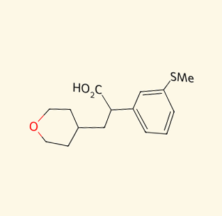 CSc1cccc(C(CC2CCOCC2)C(=O)O)c1